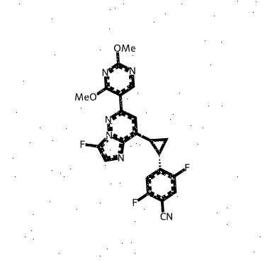 COc1ncc(-c2cc(C3C[C@@H]3c3cc(F)c(C#N)cc3F)c3ncc(F)n3n2)c(OC)n1